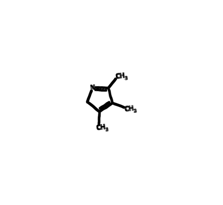 CC1=NCC(C)=C1C